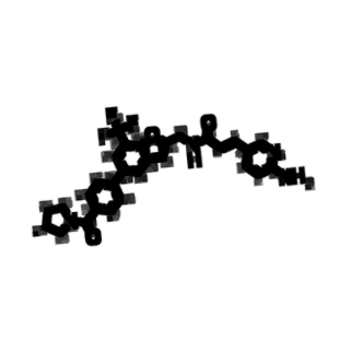 Nc1ccc(/C=C/C(=O)NCc2cc3cc(-c4ccc(C(=O)N5CCCC5)cc4)cc(C(F)(F)F)c3o2)cn1